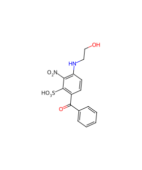 O=C(c1ccccc1)c1ccc(NCCO)c([N+](=O)[O-])c1S(=O)(=O)O